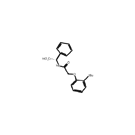 CC(C)(C)c1ccccc1OCC(=O)N[C@H](C(=O)O)c1ccccc1